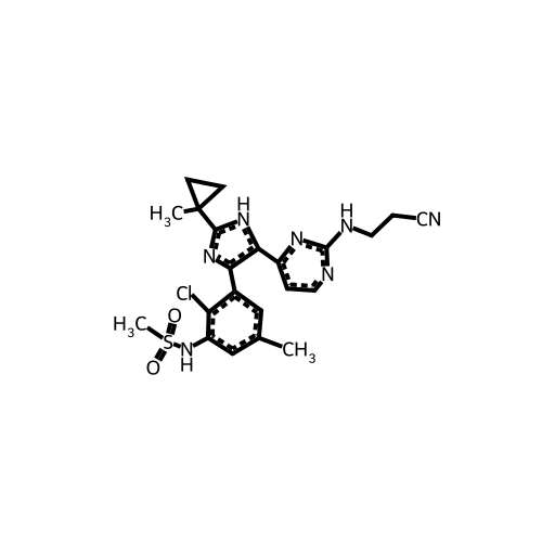 Cc1cc(NS(C)(=O)=O)c(Cl)c(-c2nc(C3(C)CC3)[nH]c2-c2ccnc(NCCC#N)n2)c1